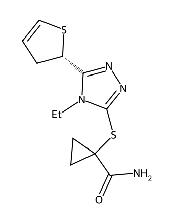 CCn1c(SC2(C(N)=O)CC2)nnc1[C@@H]1CC=CS1